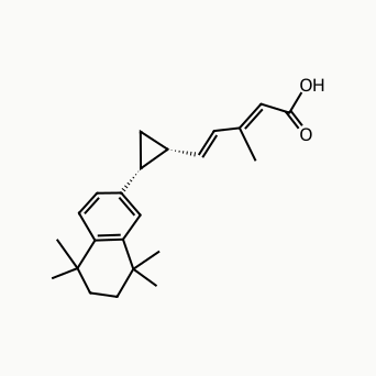 CC(/C=C/[C@H]1C[C@H]1c1ccc2c(c1)C(C)(C)CCC2(C)C)=C\C(=O)O